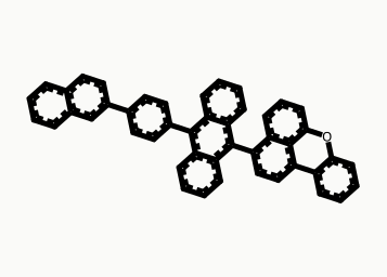 c1ccc2c(c1)Oc1cccc3c(-c4c5ccccc5c(-c5ccc(-c6ccc7ccccc7c6)cc5)c5ccccc45)ccc-2c13